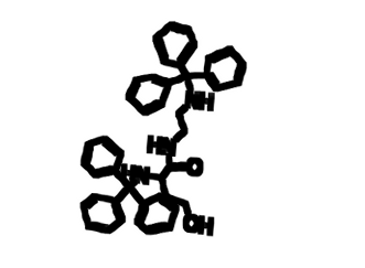 O=C(NCCNC(c1ccccc1)(c1ccccc1)c1ccccc1)C(CCO)NC(c1ccccc1)(c1ccccc1)c1ccccc1